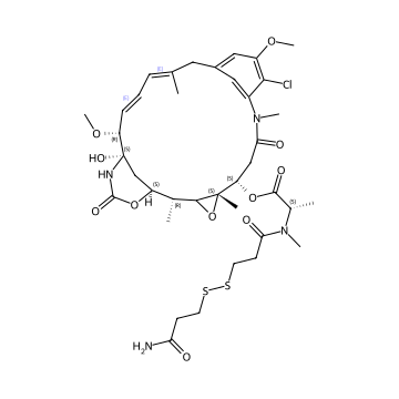 COc1cc2cc(c1Cl)N(C)C(=O)C[C@H](OC(=O)[C@H](C)N(C)C(=O)CCSSCCC(N)=O)[C@]1(C)OC1[C@H](C)[C@@H]1C[C@@](O)(NC(=O)O1)[C@H](OC)/C=C/C=C(\C)C2